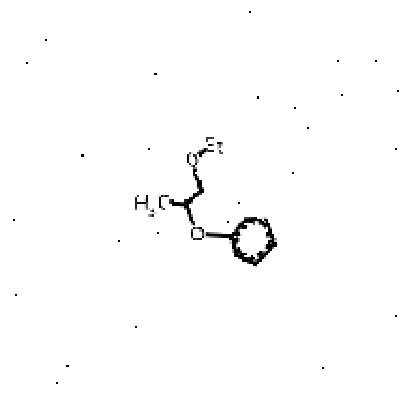 CCOC[C](C)Oc1ccccc1